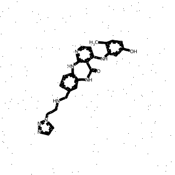 Cc1ccc(O)cc1Nc1ccnc2c1C(=O)Nc1cc(CNCCn3ccnn3)ccc1N2